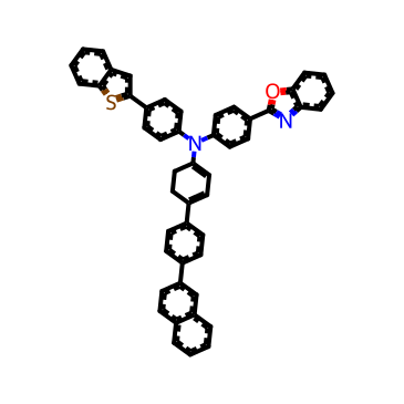 C1=C(c2ccc(-c3ccc4ccccc4c3)cc2)CCC(N(c2ccc(-c3nc4ccccc4o3)cc2)c2ccc(-c3cc4ccccc4s3)cc2)=C1